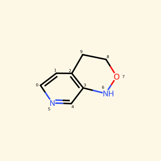 c1cc2c(cn1)NOCC2